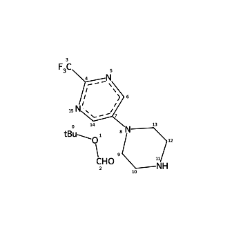 CC(C)(C)OC=O.FC(F)(F)c1ncc(N2CCNCC2)cn1